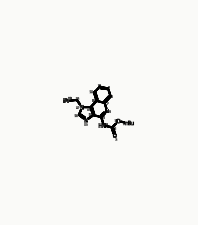 CCCCOC(=O)Nc1nc2ccccc2c2c1ncn2CC(C)C